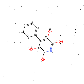 Oc1nc(O)c(O)c(-c2ccccc2)c1O